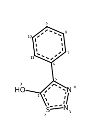 Oc1snnc1-c1ccccc1